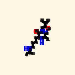 CC(C)NCCCCC(NC(C)C)C(=O)NCC(=O)C(C)C